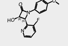 COc1ccc(N2C(=O)[C@H](O)[C@@H]2c2ncccc2F)cc1